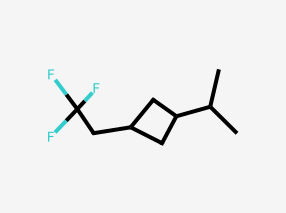 CC(C)C1CC(CC(F)(F)F)C1